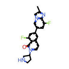 Cc1cn2cc(-c3cc(F)c4c(=O)n(C5CCNC5)ccc4c3)cc(F)c2n1